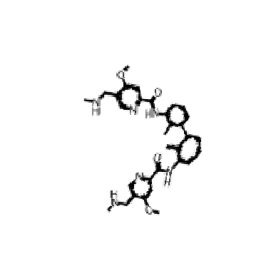 CNCc1cnc(C(=O)Nc2cccc(-c3cccc(NC(=O)c4cc(OC)c(CNC)cn4)c3C)c2C)cc1OC